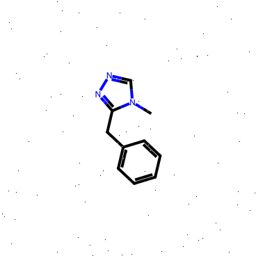 Cn1[c]nnc1Cc1ccccc1